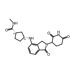 CNC(=O)[C@H]1CC[C@@H](Nc2cccc3c2CN(C2CCC(=O)NC2=O)C3=O)C1